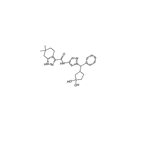 CC1(C)CCc2c(C(=O)Nc3cnn(C(c4ccccc4)C4CCS(O)(O)C4)c3)n[nH]c2C1